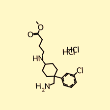 COC(=O)CCCNC1CCC(CN)(c2cccc(Cl)c2)CC1.Cl.Cl